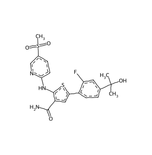 CC(C)(O)c1ccc(-c2cc(C(N)=O)c(Nc3ccc(S(C)(=O)=O)cn3)s2)c(F)c1